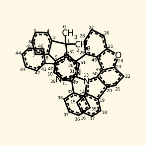 CC1(C)c2ccccc2-c2ccc(-n3c4ccccc4c4ccc5oc6cccc(-c7nc(-c8ccccc8)nc(-c8ccccc8)n7)c6c5c43)cc21